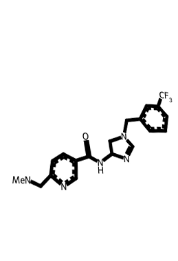 CNCc1ccc(C(=O)NC2CN(Cc3cccc(C(F)(F)F)c3)C=N2)cn1